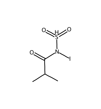 CC(C)C(=O)N(I)[SH](=O)=O